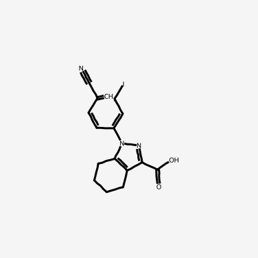 C=C(C#N)/C=C\C(=C/CI)n1nc(C(=O)O)c2c1CCCC2